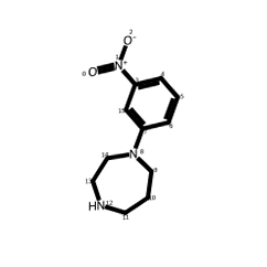 O=[N+]([O-])c1cccc(N2CCCNCC2)c1